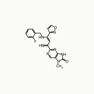 Cn1c(=O)[nH]c2nc(C(=N)/C=C(\NCc3ccccc3F)c3ccon3)ncc21